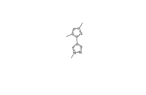 Cc1cc(C)c(-c2cnn(C)c2)s1